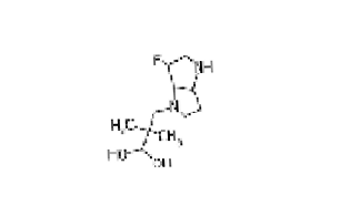 CC(C)(CN1CCC2NCC(F)C21)C(O)O